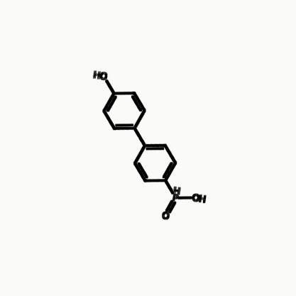 O=[PH](O)c1ccc(-c2ccc(O)cc2)cc1